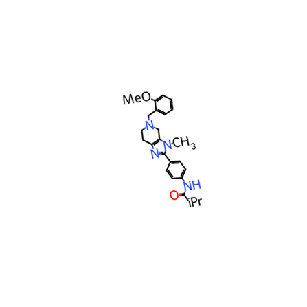 COc1ccccc1CN1CCc2nc(-c3ccc(NC(=O)C(C)C)cc3)n(C)c2C1